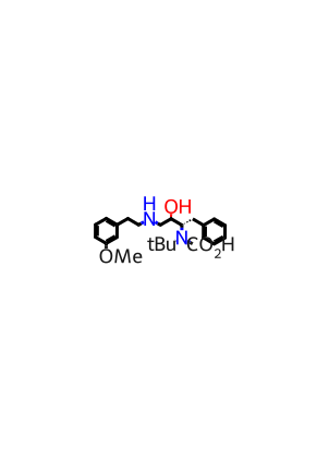 COc1cccc(CCNC[C@@H](O)[C@H](Cc2ccccc2)N(C(=O)O)C(C)(C)C)c1